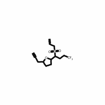 C#CCC1CCC(C(CCC(F)(F)F)S(=O)(=O)CC=C)O1